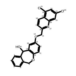 OC1c2ccccc2COc2ccc(OCc3ccc4c(Cl)cc(Cl)cc4n3)cc21